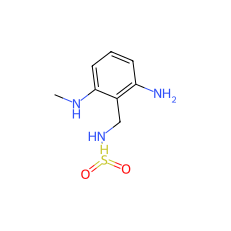 CNc1cccc(N)c1CN[SH](=O)=O